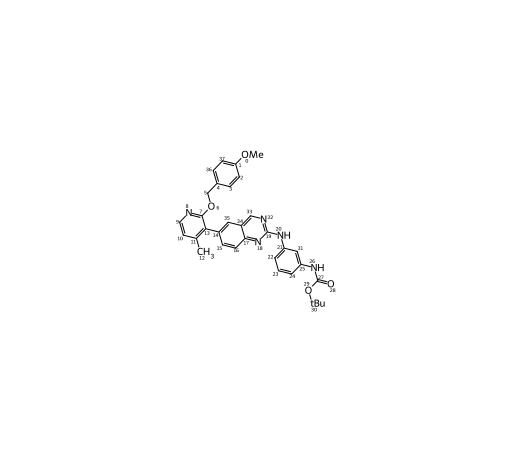 COc1ccc(COc2nccc(C)c2-c2ccc3nc(Nc4cccc(NC(=O)OC(C)(C)C)c4)ncc3c2)cc1